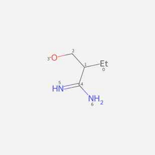 CCC(C[O])C(=N)N